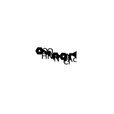 CC(=O)N(CC1CC1)c1ccc(-c2ccc(NC(=O)COc3ccccc3)cn2)cc1Cl